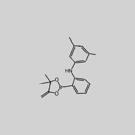 C=C1OB(c2ccccc2Nc2cc(C)cc(C)c2)OC1(C)C